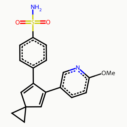 COc1ccc(C2=CC3(C=C2c2ccc(S(N)(=O)=O)cc2)CC3)cn1